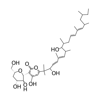 CCC(C)CC(C)/C=C(C)/C=C/CC(C)C(O)C(C)/C=C(C)/C=C/C(O)C(C)(C)c1cc(O)c([C@H]2O[C@@H](CO)C[C@@H](O)[C@@H]2O)c(=O)o1